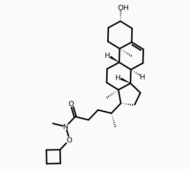 C[C@H](CCC(=O)N(C)OC1CCC1)[C@H]1CC[C@H]2[C@@H]3CC=C4C[C@@H](O)CC[C@]4(C)[C@H]3CC[C@]12C